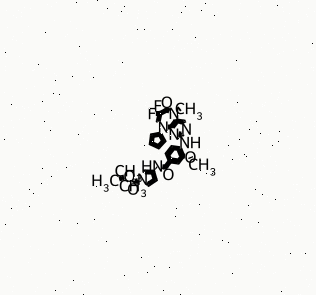 COc1cc(C(=O)N[C@@H]2CCN(C(=O)OC(C)(C)C)C2)ccc1Nc1ncc2c(n1)N(C1CCCC1)CC(F)(F)C(=O)N2C